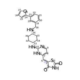 O=C1NC(=O)/C(=C/C2=CC=NC(N[C@H]3CC[C@@H](NCc4cccc(-c5ccco5)c4)CC3)N2)S1